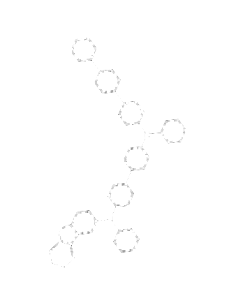 C1=c2sc3ccc(N(c4ccccc4)c4ccc(-c5ccc(N(c6ccccc6)c6ccc(-c7ccc(-c8ccccc8)cc7)cc6)cc5)cc4)cc3c2=CCC1